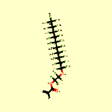 C=C(C)C(=O)OC(F)(F)C(F)(F)OC(F)(F)C(F)(F)C(F)(F)C(F)(F)C(F)(F)C(F)(F)C(F)(F)C(F)(F)C(F)(F)C(F)(F)F